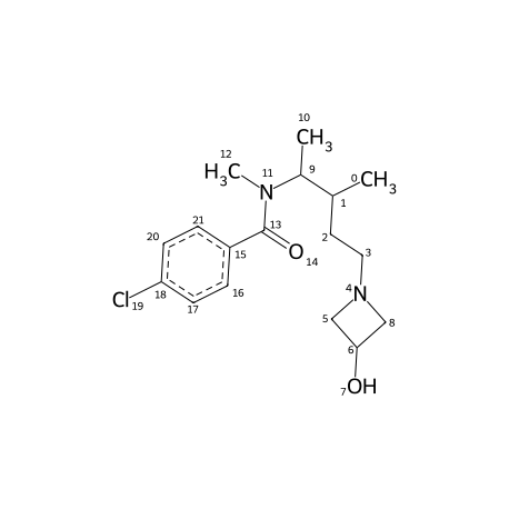 CC(CCN1CC(O)C1)C(C)N(C)C(=O)c1ccc(Cl)cc1